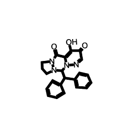 O=C1c2c(O)c(=O)cnn2C(C(c2ccccc2)c2ccccc2)N2CCCN12